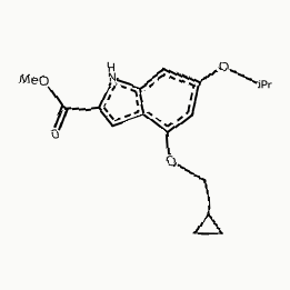 COC(=O)c1cc2c(OCC3CC3)cc(OC(C)C)cc2[nH]1